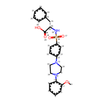 COc1ccccc1N1CCN(c2ccc(S(=O)(=O)N[C@@H](Cc3ccccc3)C(=O)O)cc2)CC1